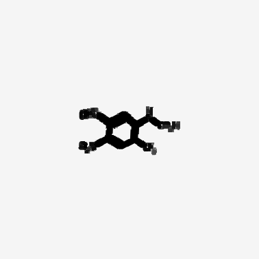 O=Cc1cc(NC(=O)O)c(C(F)(F)F)cc1[N+](=O)[O-]